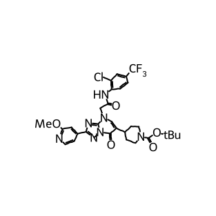 COc1cc(-c2nc3n(CC(=O)Nc4ccc(C(F)(F)F)cc4Cl)cc(C4CCN(C(=O)OC(C)(C)C)CC4)c(=O)n3n2)ccn1